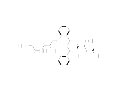 CCC(C)NCC(O)COc1ccccc1C(CCc1ccccc1)OC(=O)C(O)C(O)C(=O)O